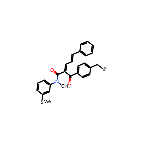 CSc1cccc(N(C)C(=O)C(=CC=Cc2ccccc2)C(=O)c2ccc(CC(C)C)cc2)c1